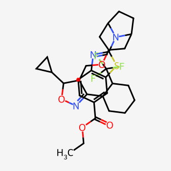 CCOC(=O)c1ccc2nc(N3C4CCC3CC(OCC3C(C5CCCCC5C(F)(F)F)=NOC3C3CC3)C4)sc2c1